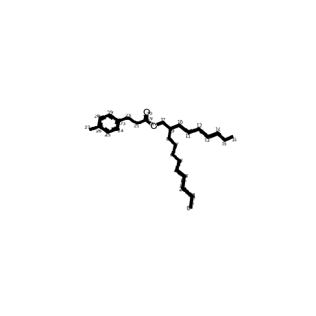 CCCCCCCCCC(CCCCCCC)COC(=O)CCc1ccc(C)cc1